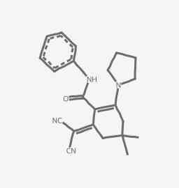 CC1(C)CC(=C(C#N)C#N)C(C(=O)Nc2ccccc2)=C(N2CCCC2)C1